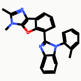 Cc1ccccc1-n1c(-c2cccc3c2oc2c3nc(C)n2C)nc2ccccc21